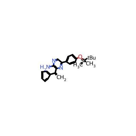 C=C(c1ccccc1)c1nc(-c2ccc(O[Si](C)(C)C(C)(C)C)cc2)cnc1N